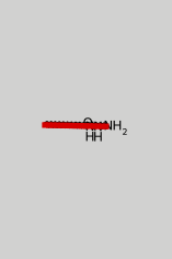 CCCCCCCCCCCC=CC=CC=CC=CC=CC(=O)NCCCNCCCCN